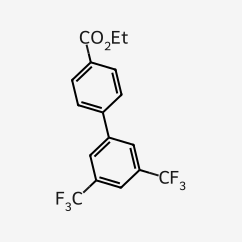 CCOC(=O)c1ccc(-c2cc(C(F)(F)F)cc(C(F)(F)F)c2)cc1